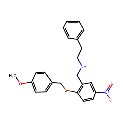 COc1ccc(CSc2ccc([N+](=O)[O-])cc2CNCCc2ccccc2)cc1